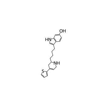 Oc1ccc2c(CCCCC3CC(c4cccs4)=CCN3)c[nH]c2c1